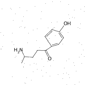 CC(N)CCC(=O)c1ccc(O)cc1